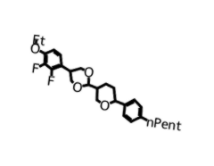 CCCCCc1ccc(C2CCC(C3OCC(c4ccc(OCC)c(F)c4F)CO3)CO2)cc1